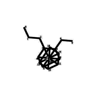 CCC[C]12[CH]3[CH]4[CH]5[C]1(CC)[Fe]45321678[CH]2[CH]1[CH]6[CH]7[CH]28